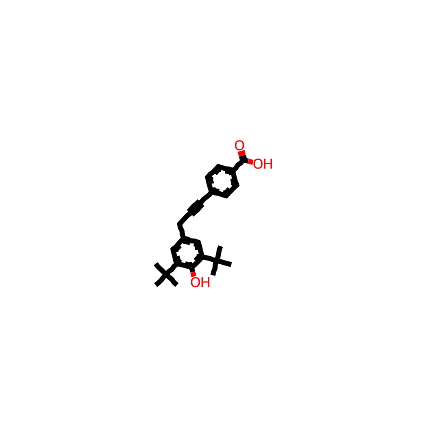 CC(C)(C)c1cc(CC#Cc2ccc(C(=O)O)cc2)cc(C(C)(C)C)c1O